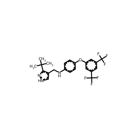 CC(C)(C)c1n[nH]cc1CNc1ccc(Oc2cc(C(F)(F)F)cc(C(F)(F)F)c2)cc1